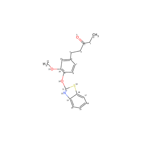 CCC(=O)CCc1ccc(Oc2nc3ccccc3s2)c(OC)c1